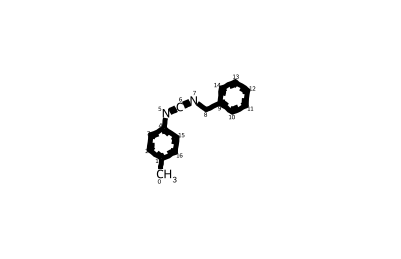 Cc1ccc(N=C=NCc2ccccc2)cc1